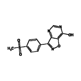 CS(=O)(=O)c1ccc(-c2noc3c(O)ncnc23)cc1